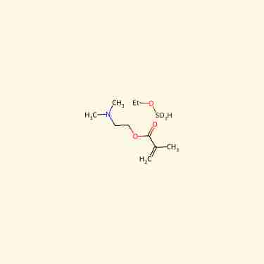 C=C(C)C(=O)OCCN(C)C.CCOS(=O)(=O)O